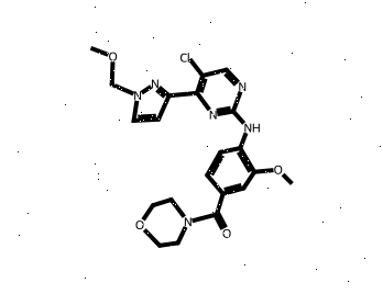 COCn1ccc(-c2nc(Nc3ccc(C(=O)N4CCOCC4)cc3OC)ncc2Cl)n1